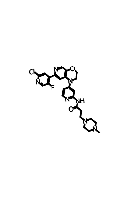 CN1CCN(CCC(=O)Nc2cc(N3CCOc4cnc(-c5cc(Cl)ncc5F)cc43)ccn2)CC1